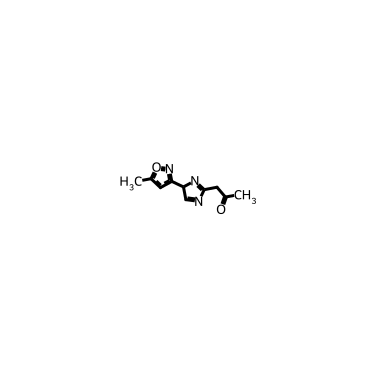 CC(=O)CC1=NC(c2cc(C)on2)C=N1